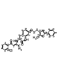 CC(=CC(=O)c1ccccc1Cl)N[C@@H](Cc1ccc(OCCc2nc(-c3ccccc3)oc2C)cc1)C(=O)O